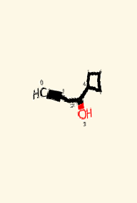 C#CC(O)C1CCC1